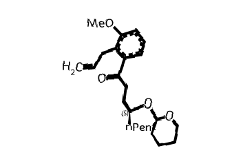 C=CCc1c(OC)cccc1C(=O)CC[C@H](CCCCC)OC1CCCCO1